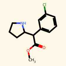 COC(=O)C(c1cccc(Cl)c1)C1CCCN1